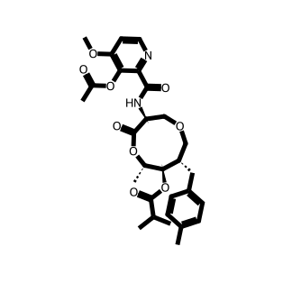 COc1ccnc(C(=O)N[C@H]2COC[C@H](Cc3ccc(C)cc3)[C@@H](OC(=O)C(C)C)[C@H](C)OC2=O)c1OC(C)=O